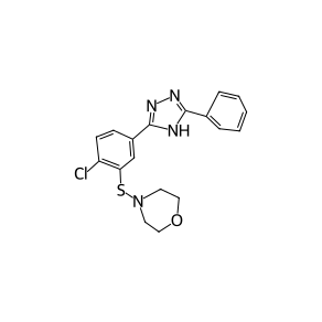 Clc1ccc(-c2nnc(-c3ccccc3)[nH]2)cc1SN1CCOCC1